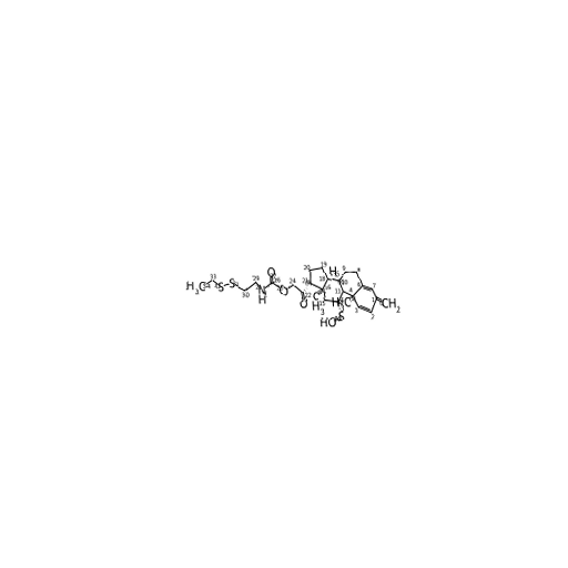 C=C1C=C[C@]2(C)C(=C1)CC[C@H]1C2[C@H](SO)C[C@]2(C)C1CC[C@H]2C(=O)COC(=O)NCCSSCC